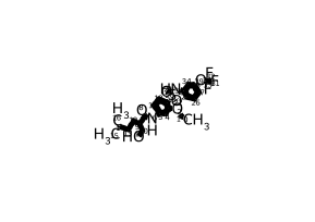 CCOc1cc(NC(=O)C(CO)CCC(C)C)ccc1S(=O)(=O)Nc1cccc(OC(F)(F)F)c1